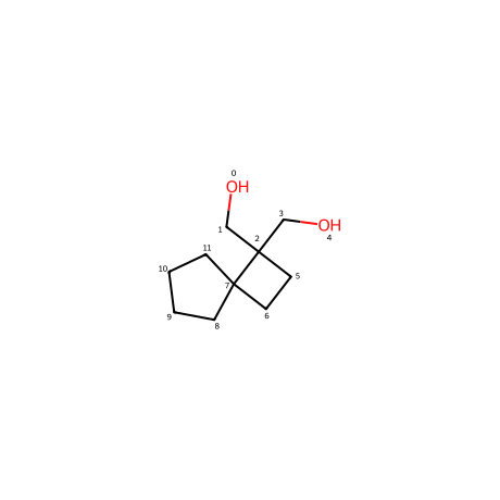 OCC1(CO)CCC12CCCC2